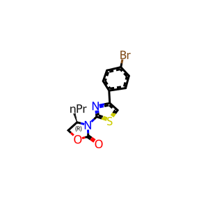 CCC[C@@H]1COC(=O)N1c1nc(-c2ccc(Br)cc2)cs1